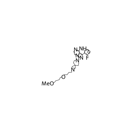 COCCCCOCCCCN1CC2(CCN(c3nc(-c4ccccc4F)c4c(N)nccn34)CC2)C1